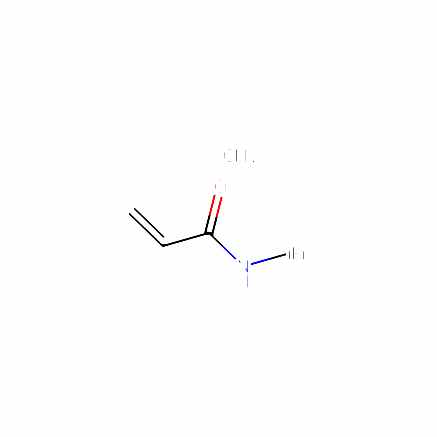 C.C=CC(=O)NC(C)C